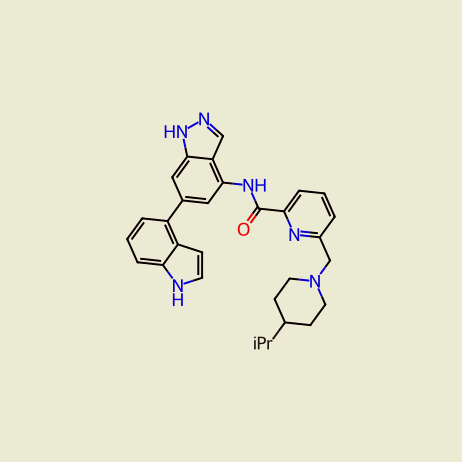 CC(C)C1CCN(Cc2cccc(C(=O)Nc3cc(-c4cccc5[nH]ccc45)cc4[nH]ncc34)n2)CC1